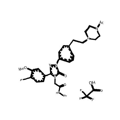 COc1cc(-c2nn(-c3ccc(CCN4CCN(C(C)=O)CC4)cc3)c(=O)n2CC(=O)NC(C)C)ccc1F.O=C(O)C(F)(F)F